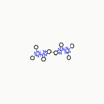 c1ccc(-c2nc(-c3ccccc3)nc(-n3c4ccccc4n4c5cc(-c6ccc7nc8n(-c9nc(-c%10ccccc%10)nc(-c%10ccccc%10)n9)c9ccccc9n8c7c6)ccc5nc34)n2)cc1